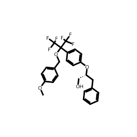 COc1ccc(COC(c2ccc(O[C@@H](CO)Cc3ccccc3)cc2)(C(F)(F)F)C(F)(F)F)cc1